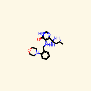 CCCC1(N)NN(Cc2ccccc2N2CCOCC2)c2c1nc[nH]c2=O